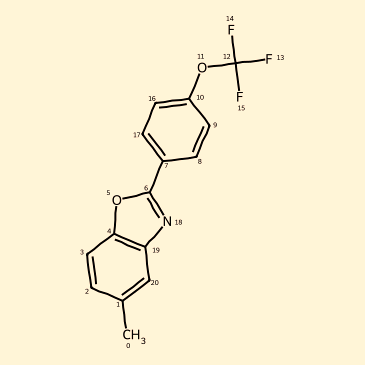 Cc1ccc2oc(-c3ccc(OC(F)(F)F)cc3)nc2c1